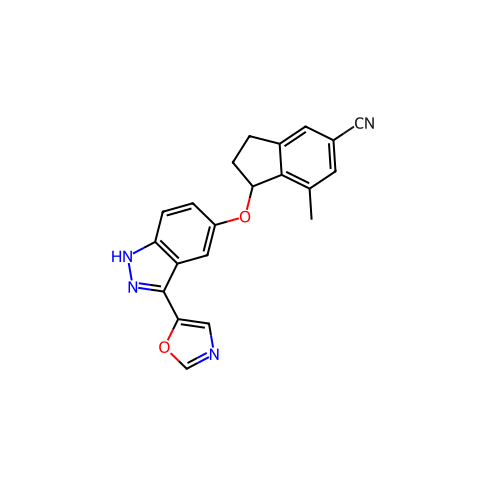 Cc1cc(C#N)cc2c1C(Oc1ccc3[nH]nc(-c4cnco4)c3c1)CC2